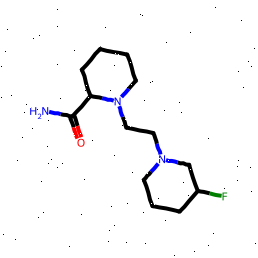 NC(=O)C1C[CH]CCN1CCN1CCCC(F)C1